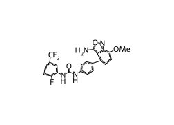 COc1ccc(-c2ccc(NC(=O)Nc3cc(C(F)(F)F)ccc3F)cc2)c2c(N)onc12